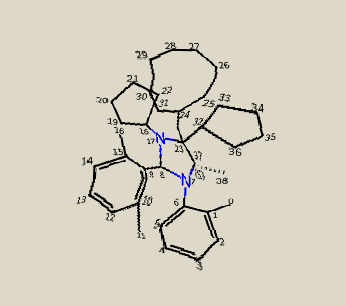 Cc1ccccc1N1C(c2c(C)cccc2C)N(C2CCCC2)C(C2CCCCCCC2)(C2CCCC2)[C@@H]1C